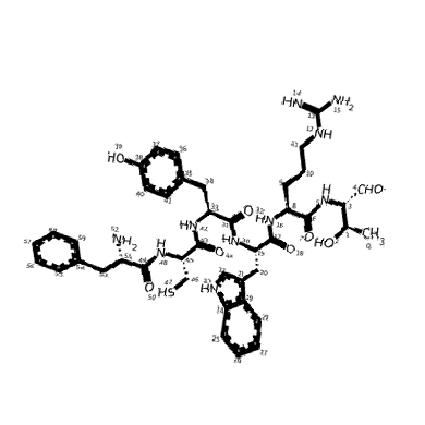 C[C@@H](O)[C@@H]([C]=O)NC(=O)[C@H](CCCNC(=N)N)NC(=O)[C@H](Cc1c[nH]c2ccccc12)NC(=O)[C@H](Cc1ccc(O)cc1)NC(=O)[C@H](CS)NC(=O)[C@@H](N)Cc1ccccc1